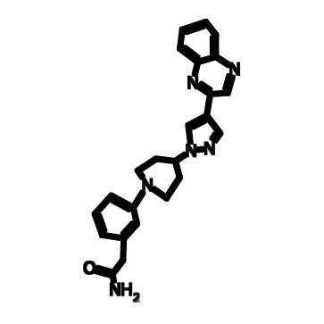 NC(=O)Cc1cccc(N2CCC(n3cc(-c4cnc5ccccc5n4)cn3)CC2)c1